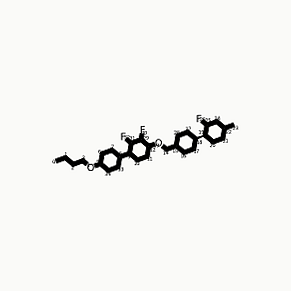 CCCCOC1CCC(C2CCC(OCC3CCC([C@@H]4CCC(C)CC4F)CC3)C(F)C2F)CC1